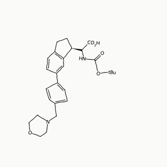 CC(C)(C)OC(=O)NC(C(=O)O)[C@@H]1CCc2ccc(-c3ccc(CN4CCOCC4)cc3)cc21